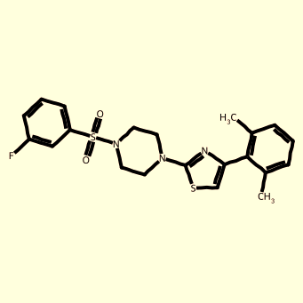 Cc1cccc(C)c1-c1csc(N2CCN(S(=O)(=O)c3cccc(F)c3)CC2)n1